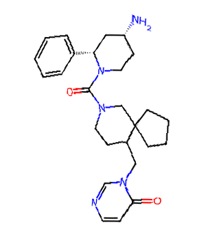 N[C@@H]1CCN(C(=O)N2CCC(Cn3cnccc3=O)C3(CCCC3)C2)[C@H](c2ccccc2)C1